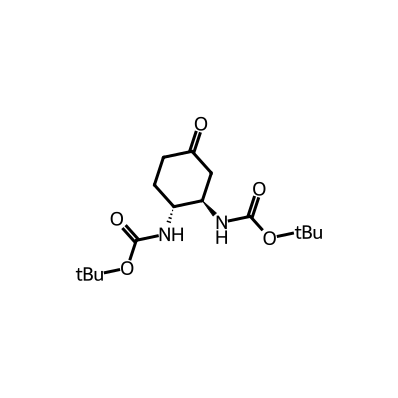 CC(C)(C)OC(=O)N[C@@H]1CCC(=O)C[C@H]1NC(=O)OC(C)(C)C